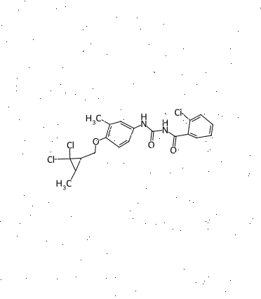 Cc1cc(NC(=O)NC(=O)c2ccccc2Cl)ccc1OCC1C(C)C1(Cl)Cl